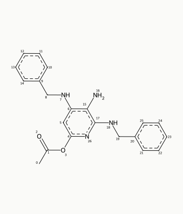 CC(=O)Oc1cc(NCc2ccccc2)c(N)c(NCc2ccccc2)n1